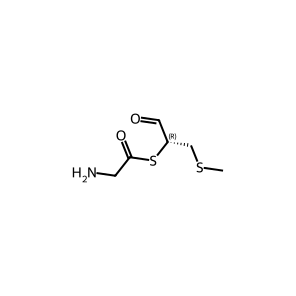 CSC[C@@H](C=O)SC(=O)CN